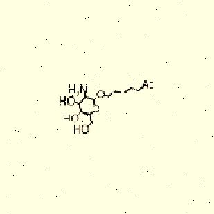 CC(=O)CCCCCO[C@@H]1OC(CO)[C@H](O)C(O)C1N